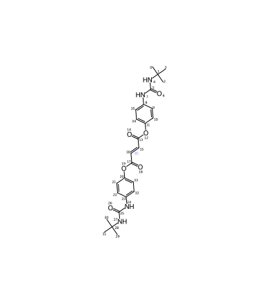 CC(C)(C)NC(=O)Nc1ccc(OC(=O)/C=C/C(=O)Oc2ccc(NC(=O)NC(C)(C)C)cc2)cc1